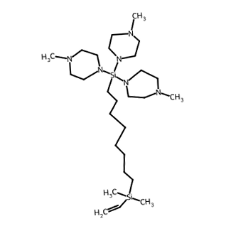 C=C[Si](C)(C)CCCCCCCC[Si](N1CCN(C)CC1)(N1CCN(C)CC1)N1CCN(C)CC1